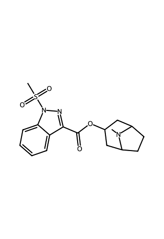 CN1C2CCC1CC(OC(=O)c1nn(S(C)(=O)=O)c3ccccc13)C2